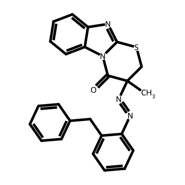 CC1(N=Nc2ccccc2Cc2ccccc2)CSc2nc3ccccc3n2C1=O